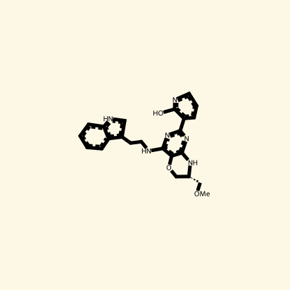 COC[C@@H]1COc2c(NCCc3c[nH]c4ccccc34)nc(-c3cccnc3O)nc2N1